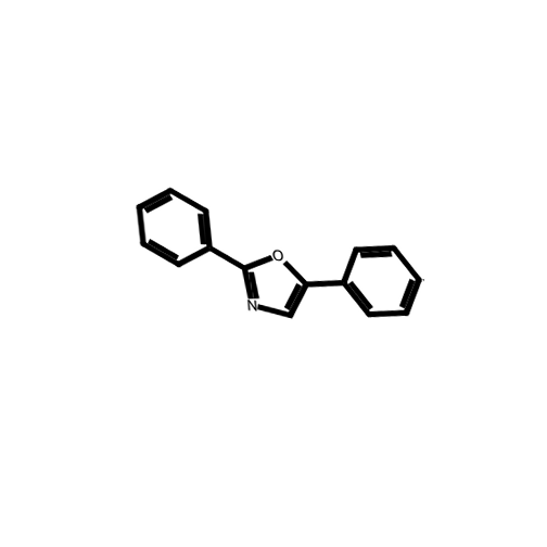 [c]1ccc(-c2cnc(-c3ccccc3)o2)cc1